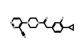 N#Cc1nnccc1N1CCN(C(=O)Cc2ccc(C3CC3)c(F)c2)CC1